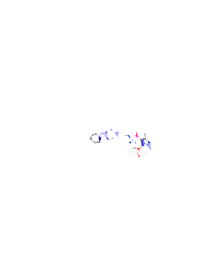 CCOC1CCN(CCCN2CCN(c3ccc(F)cc3)CC2)C(=O)c2c(C)cn(C)c21